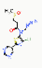 C[S+]([O-])CCC(=O)N(CN=[N+]=[N-])c1sc(-c2cncnc2)nc1Cl